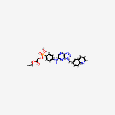 CCOC(=O)COP(=O)(OC)c1ccc(Nc2cnc3nnn(Cc4ccc5ncccc5c4)c3n2)cc1